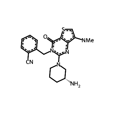 CNc1csc2c(=O)n(Cc3ccccc3C#N)c(N3CCC[C@@H](N)C3)nc12